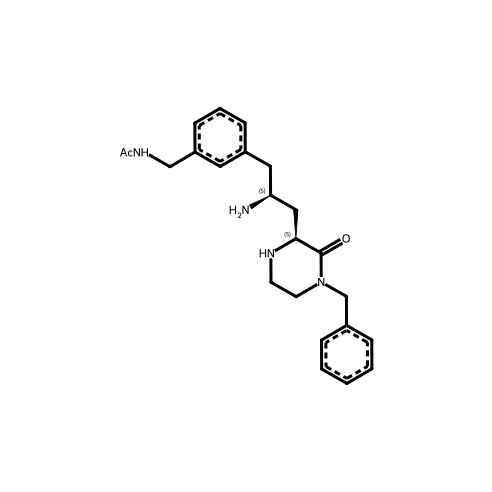 CC(=O)NCc1cccc(C[C@H](N)C[C@@H]2NCCN(Cc3ccccc3)C2=O)c1